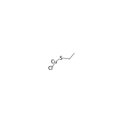 CC[S][Cu][Cl]